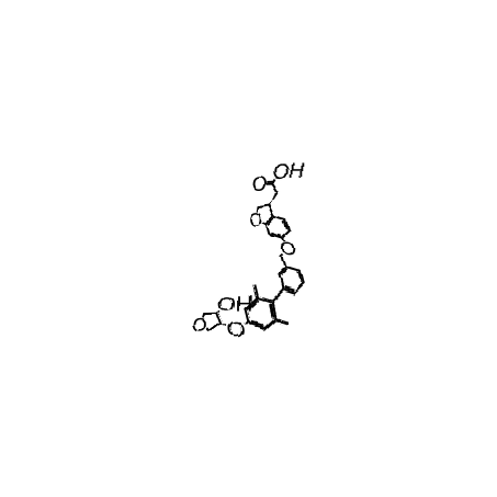 Cc1cc(O[C@@H]2COC[C@@H]2O)cc(C)c1-c1cccc(COc2ccc3c(c2)OC[C@H]3CC(=O)O)c1